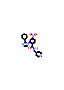 O=C(NCc1ccncc1)c1ccc([N+](=O)[O-])cc1-n1ccnc1C1CCCCC1